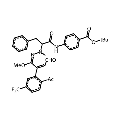 COC(=N/N(C)C(Cc1ccccc1)C(=O)Nc1ccc(C(=O)OC(C)(C)C)cc1)/C(=C\C=O)c1cc(C(F)(F)F)ccc1C(C)=O